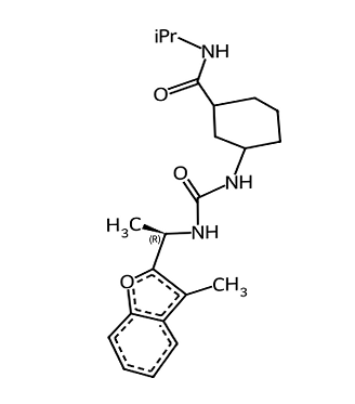 Cc1c([C@@H](C)NC(=O)NC2CCCC(C(=O)NC(C)C)C2)oc2ccccc12